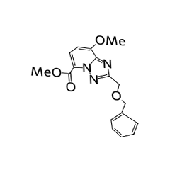 COC(=O)c1ccc(OC)c2nc(COCc3ccccc3)nn12